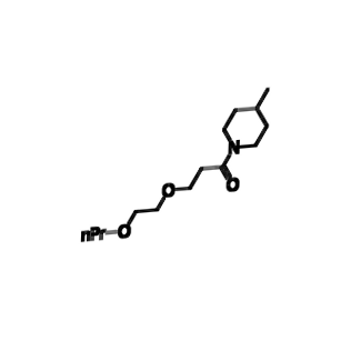 CCCOCCOCCC(=O)N1CCC(C)CC1